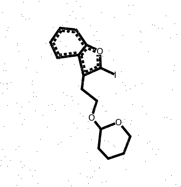 Ic1oc2ccccc2c1CCOC1CCCCO1